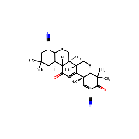 CC1(C)C[C@@H](C#N)C2CC[C@]3(C)[C@H](C(=O)C=C4[C@@]5(C)C=C(C#N)C(=O)C(C)(C)C5CC[C@]43C)[C@H]2C1